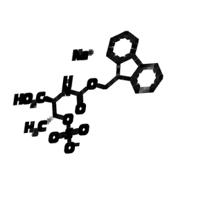 C[C@@H](OS(=O)(=O)[O-])[C@H](NC(=O)OCC1c2ccccc2-c2ccccc21)C(=O)O.[Na+]